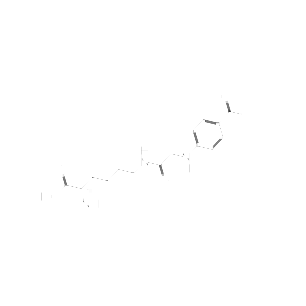 CC(=O)c1ccc(NCC(=O)NCCCC[C@H](N)C(=O)O)cc1